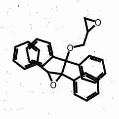 c1ccc(C2OC2(c2ccccc2)C(OCC2CO2)(c2ccccc2)c2ccccc2)cc1